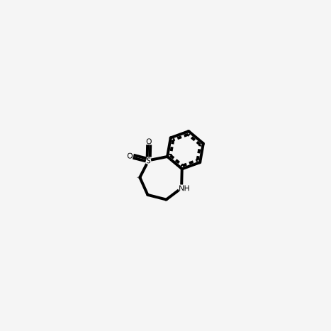 O=S1(=O)[CH]CCNc2ccccc21